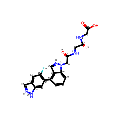 O=C(O)CNC(=O)CNC(=O)Cn1ncc2c(-c3cc4[nH]ncc4cc3F)cccc21